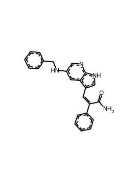 NC(=O)C(=Cc1c[nH]c2ncc(NCc3ccccc3)cc12)c1ccccc1